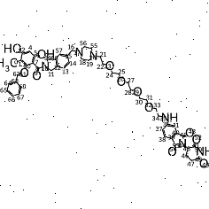 Cc1c(O)cc(O)c(C(=O)N2Cc3ccc(CN4CCN(CCOCCOCCOCCOCCNc5ccc6c(c5)C(=O)N(C5CCC(=O)NC5=O)C6=O)CC4)cc3C2)c1OCc1ccccc1